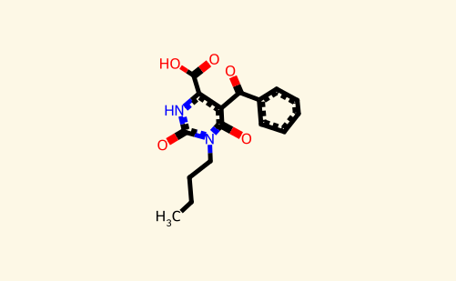 CCCCn1c(=O)[nH]c(C(=O)O)c(C(=O)c2ccccc2)c1=O